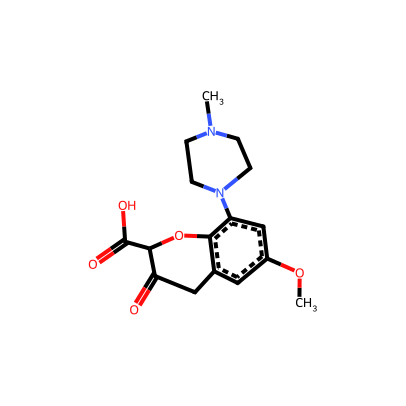 COc1cc2c(c(N3CCN(C)CC3)c1)OC(C(=O)O)C(=O)C2